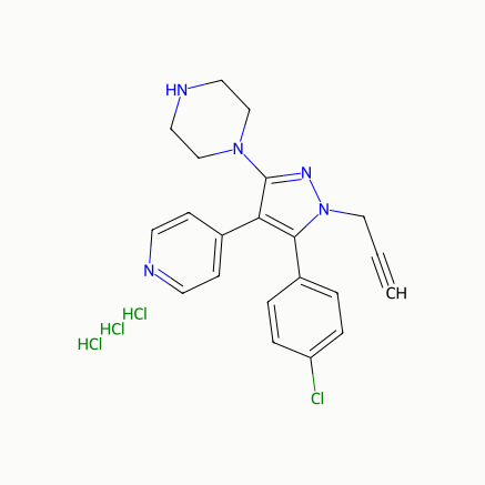 C#CCn1nc(N2CCNCC2)c(-c2ccncc2)c1-c1ccc(Cl)cc1.Cl.Cl.Cl